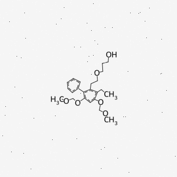 CCc1c(OCOC)cc(OCOC)c(-c2ccccc2)c1CCOCCCO